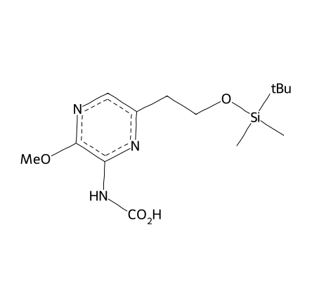 COc1ncc(CCO[Si](C)(C)C(C)(C)C)nc1NC(=O)O